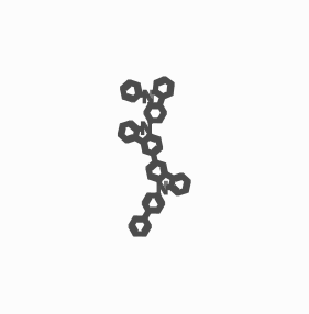 C1=CC2C3=C(CC(n4c5ccccc5c5cc(-c6ccc7c(c6)c6ccccc6n7-c6ccc(-c7ccccc7)cc6)ccc54)CC3)N(c3ccccc3)C2C=C1